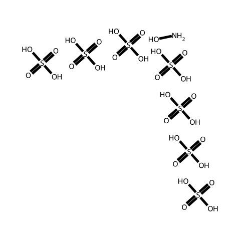 NO.O=S(=O)(O)O.O=S(=O)(O)O.O=S(=O)(O)O.O=S(=O)(O)O.O=S(=O)(O)O.O=S(=O)(O)O.O=S(=O)(O)O